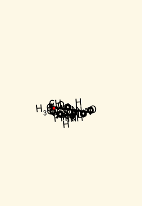 CN(C)C/C=C/C(=O)Nc1cccc(-c2nc(Nc3cccc(N4CCOCC4)c3)nc3[nH]nc(C(=O)Nc4ccc(N5CCOCC5)c(F)c4)c23)c1